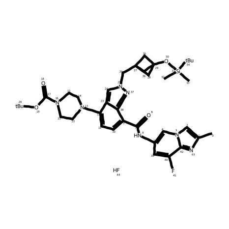 Cc1cn2cc(NC(=O)c3ccc(N4CCN(C(=O)OC(C)(C)C)CC4)c4cn(CC56CC(O[Si](C)(C)C(C)(C)C)(C5)C6)nc34)cc(F)c2n1.F